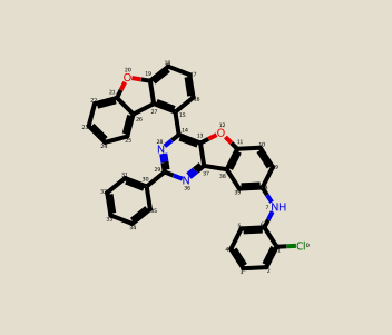 Clc1ccccc1Nc1ccc2oc3c(-c4cccc5oc6ccccc6c45)nc(-c4ccccc4)nc3c2c1